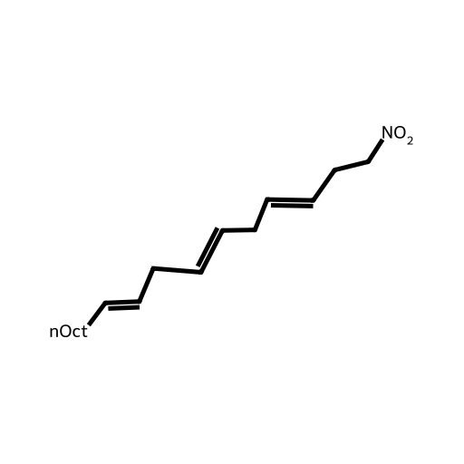 CCCCCCCCC=CCC=CCC=CCC[N+](=O)[O-]